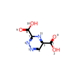 O=C(O)c1cnnc(C(=O)O)n1